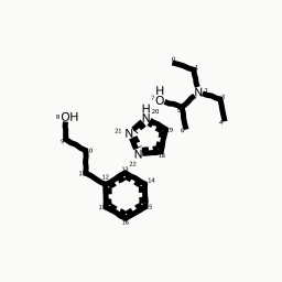 CCN(CC)C(C)O.OCCCc1ccccc1.c1c[nH]nn1